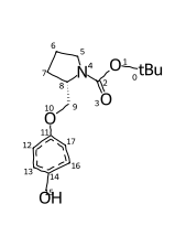 CC(C)(C)OC(=O)N1CCC[C@H]1COc1ccc(O)cc1